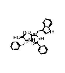 O=C(N[C@H](Cc1c[nH]c2ccccc12)C(=O)N[C@H](Cc1ccccc1)C(=O)O)c1ccccc1